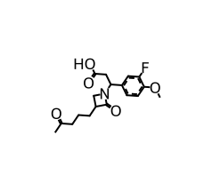 COc1ccc(C(CC(=O)O)N2CC(CCCC(C)=O)C2=O)cc1F